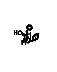 CC(C)CC(CN1CCN(C)CC1)NC(=O)N(CCO)CCc1ccccc1